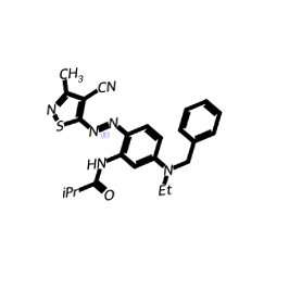 CCN(Cc1ccccc1)c1ccc(/N=N/c2snc(C)c2C#N)c(NC(=O)C(C)C)c1